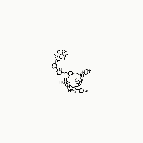 CO[C@H]1O[C@H](COc2cccc(-c3nccc(COc4ccc5cc4C[C@@H](C(=O)O)Oc4ncnc6sc(-c7ccc(F)cc7)c(c46)-c4ccc(c(Cl)c4C)O[C@H](CN4CCN(C)CC4)CC5)n3)c2)[C@@H](OC)[C@H](OC)[C@@H]1OC